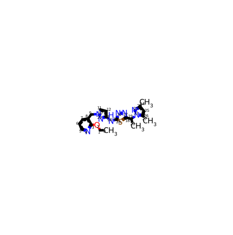 CCOc1ncccc1Cn1ccc(Nc2nnc(C(C)n3nc(C)cc3C)s2)n1